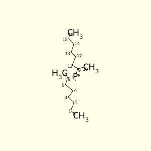 CCCCCCC(C)[P]C(C)CCCCCC